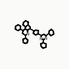 c1ccc(-c2cc(-c3ccc(-c4cc5ccccc5c5c(-c6ccccc6)cc(-c6ccccc6)nc45)cc3)nc(-c3ccccc3)n2)cc1